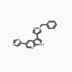 [c]1ncc(-c2cnc3[nH]cc(-c4cnn(Cc5ccccc5)c4)c3c2)s1